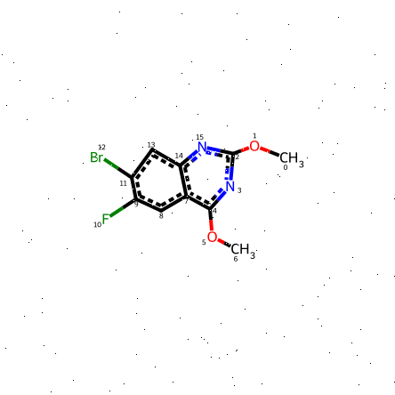 COc1nc(OC)c2cc(F)c(Br)cc2n1